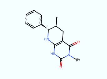 CC(C)n1c(=O)[nH]c2c(c1=O)C[C@H](C)[C@H](c1ccccc1)N2